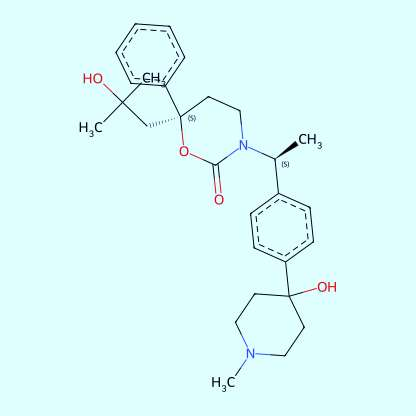 C[C@@H](c1ccc(C2(O)CCN(C)CC2)cc1)N1CC[C@](CC(C)(C)O)(c2ccccc2)OC1=O